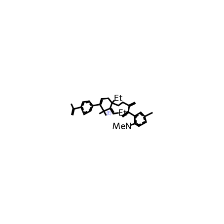 C=C(CCC1(CC)CC=C(c2ccc(C(=C)C)cc2)C(C)(C)/C1=C/CC)C(=C)c1cc(C)ccc1NC